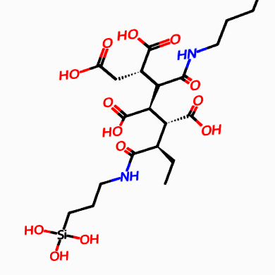 CCCCNC(=O)C([C@H](CC(=O)O)C(=O)O)[C@H](C(=O)O)[C@H](C(=O)O)[C@@H](CC)C(=O)NCCC[Si](O)(O)O